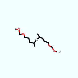 COCOCCC[CH](C)[Cu][CH](C)CCCOCOC.[Li]